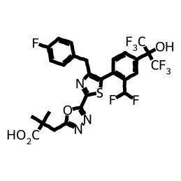 CC(C)(Cc1nnc(-c2nc(Cc3ccc(F)cc3)c(-c3ccc(C(O)(C(F)(F)F)C(F)(F)F)cc3C(F)F)s2)o1)C(=O)O